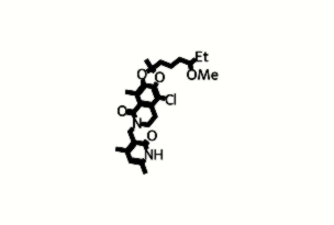 CCC(CCCC1(C)Oc2c(C)c3c(c(Cl)c2O1)CCN(Cc1c(C)cc(C)[nH]c1=O)C3=O)OC